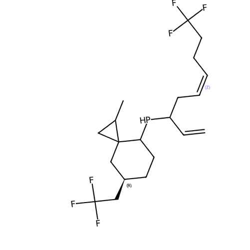 C=CC(C/C=C\CCC(F)(F)F)PC1CC[C@@H](CC(F)(F)F)CC12CC2C